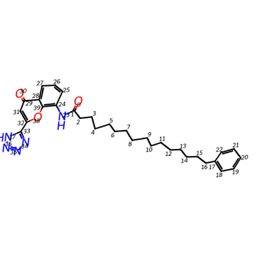 O=C(CCCCCCCCCCCCCCCc1ccccc1)Nc1cccc2c(=O)cc(-c3nnn[nH]3)oc12